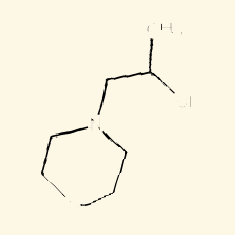 C[C](O)CN1CCOCC1